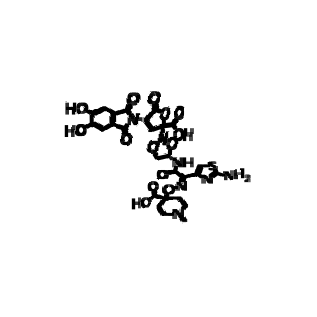 CN1CCC(O/N=C(\C(=O)N[C@@H]2CON(C3(C(=O)O)C[C@H](N4C(=O)c5cc(O)c(O)cc5C4=O)C(=O)O3)O2)c2csc(N)n2)(C(=O)O)CC1